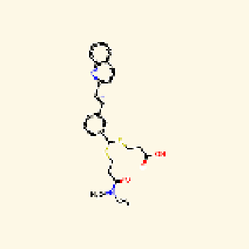 CN(C)C(=O)CCSC(SCCC(=O)O)c1cccc(/C=C/c2ccc3ccccc3n2)c1